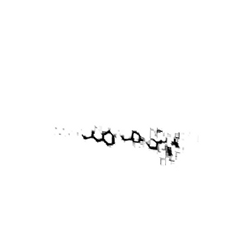 COCc1cnc2cc(OCC3CCC(n4ccc5c(N(C(=O)OC(C)(C)C)C(=O)OC(C)(C)C)ncnc54)O3)ccc2c1